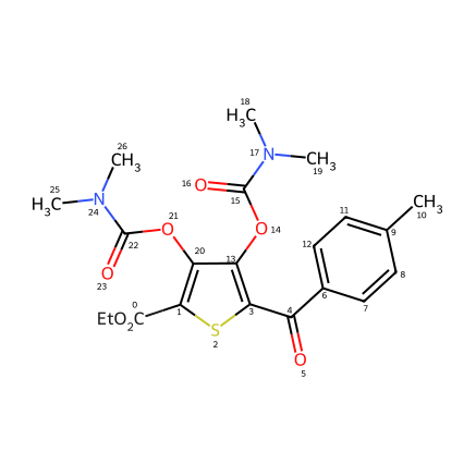 CCOC(=O)c1sc(C(=O)c2ccc(C)cc2)c(OC(=O)N(C)C)c1OC(=O)N(C)C